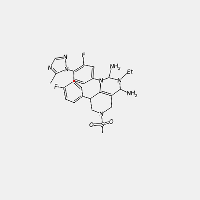 CCN1C(N)C2=C(C(c3ccc(F)cc3)CN(S(C)(=O)=O)C2)N(c2ccc(-n3ncnc3C)c(F)c2)C1N